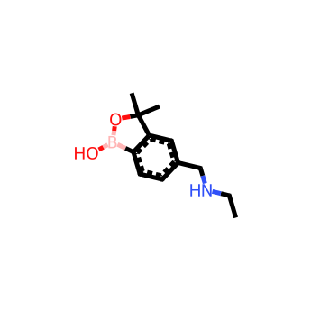 CCNCc1ccc2c(c1)C(C)(C)OB2O